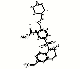 C=Cc1ccc2c(c1)CCC(CC)N2S(=O)(=O)c1ccc(OCC2CCOCC2)c(C(=O)OC)c1